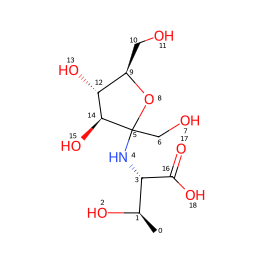 C[C@@H](O)[C@H](NC1(CO)O[C@H](CO)[C@@H](O)[C@@H]1O)C(=O)O